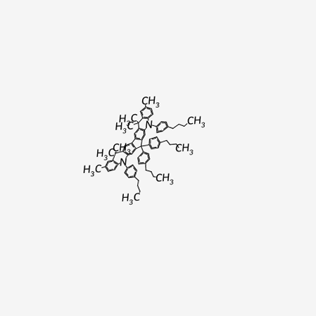 CCCCc1ccc(N2c3ccc(C)cc3C(C)(C)c3cc4c(cc32)C(c2ccc(CCCC)cc2)(c2ccc(CCCC)cc2)c2cc3c(cc2-4)C(C)(C)c2cc(C)ccc2N3c2ccc(CCCC)cc2)cc1